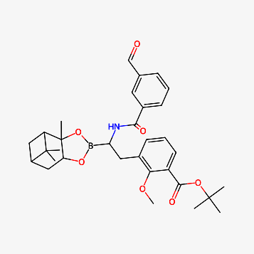 COc1c(CC(NC(=O)c2cccc(C=O)c2)B2OC3CC4CC(C4(C)C)C3(C)O2)cccc1C(=O)OC(C)(C)C